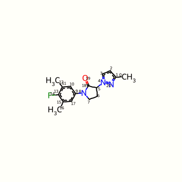 Cc1ccn(C2CCN(c3cc(C)c(F)c(C)c3)C2=O)n1